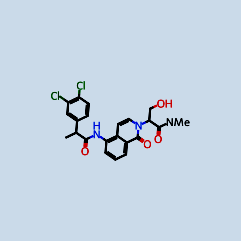 CNC(=O)C(CO)n1ccc2c(NC(=O)C(C)c3ccc(Cl)c(Cl)c3)cccc2c1=O